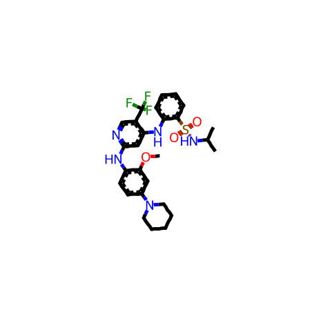 COc1cc(N2CCCCC2)ccc1Nc1cc(Nc2ccccc2S(=O)(=O)NC(C)C)c(C(F)(F)F)cn1